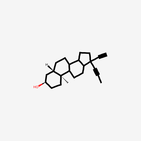 C#CC1(C#CC)CCC2C3CC[C@H]4C[C@H](O)CC[C@]4(C)C3CCC21